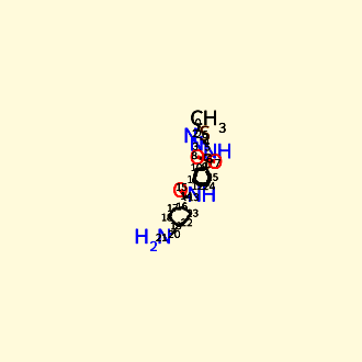 Cc1nnc(NS(=O)(=O)c2ccc(NC(=O)[C@H]3CC[C@H](CN)CC3)cc2)s1